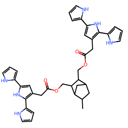 CC1CC2CC1C(COC(=O)Cc1cc(-c3ccc[nH]3)[nH]c1-c1ccc[nH]1)C2COC(=O)Cc1cc(-c2ccc[nH]2)[nH]c1-c1ccc[nH]1